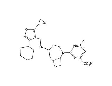 Cc1cc(C(=O)O)nc(N2CCC(OCc3c(C4CCCCC4)noc3C3CC3)CC3CCC32)n1